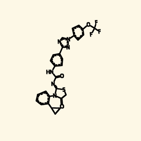 O=C(/N=C1\SCC(=O)N1c1ccccc1C1CC1)Nc1ccc(-c2ncn(-c3ccc(OC(F)(F)F)cc3)n2)cc1